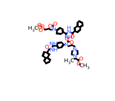 COC(=O)C(C)N1CCN(CC2CN(c3ccc(C(=N)NC(=O)c4ccc5ccccc5c4)cc3)C(=O)O2)CC1.CS(=O)(=O)OCC1CN(c2ccc(C(=N)NC(=O)c3ccc4ccccc4c3)cc2)C(=O)O1